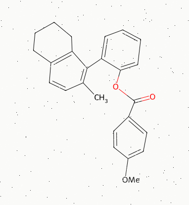 COc1ccc(C(=O)Oc2ccccc2-c2c(C)ccc3c2CCCC3)cc1